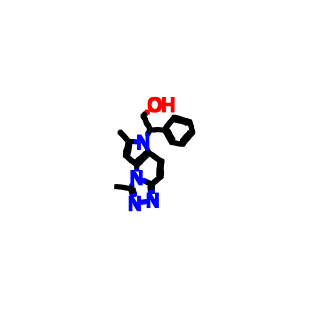 Cc1cc2c(ccc3nnc(C)n32)n1C(CO)c1ccccc1